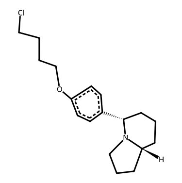 ClCCCCOc1ccc([C@@H]2CCC[C@@H]3CCCN32)cc1